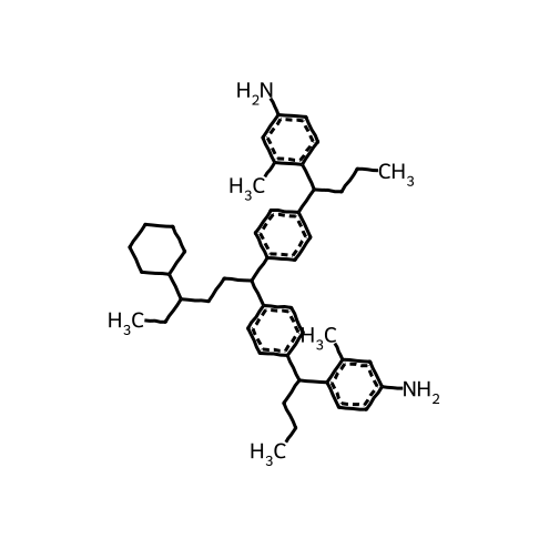 CCCC(c1ccc(C(CCC(CC)C2CCCCC2)c2ccc(C(CCC)c3ccc(N)cc3C)cc2)cc1)c1ccc(N)cc1C